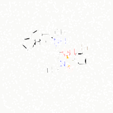 CN(CC(O)CNC(C)(C)Cc1ccc2ccccc2c1)S(=O)(=O)c1cccc(Br)c1